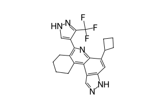 FC(F)(F)c1n[nH]cc1-c1nc2c(C3CCC3)cc3[nH]ncc3c2c2c1CCCC2